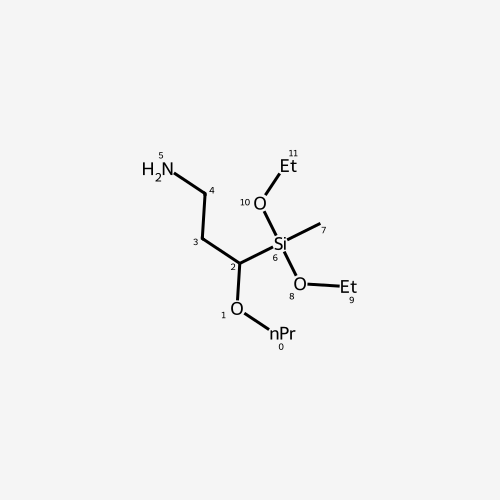 CCCOC(CCN)[Si](C)(OCC)OCC